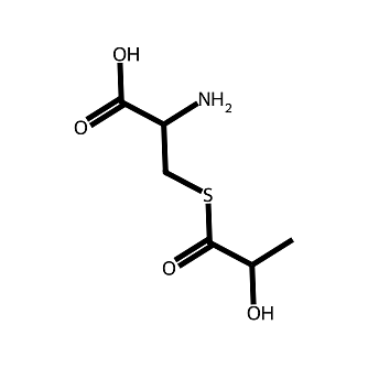 CC(O)C(=O)SCC(N)C(=O)O